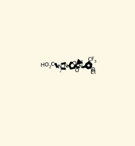 CCOc1cc(CNC(=O)[C@@]2(C3CC3)CC[C@@H](N3CCN(CCC(=O)O)[C@@H](C)C3)CO2)cc(C(F)(F)F)c1